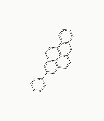 c1ccc(-c2cc3ccc4cc5ccccc5c5ccc(c2)c3c45)cc1